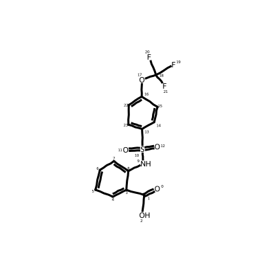 O=C(O)c1ccccc1NS(=O)(=O)c1ccc(OC(F)(F)F)cc1